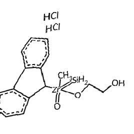 Cl.Cl.[CH3][Zr](=[O])(=[SiH2])([O]CCO)[CH]1c2ccccc2-c2ccccc21